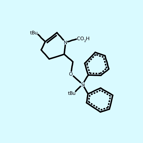 CC(C)(C)C1=CN(C(=O)O)C(CO[Si](c2ccccc2)(c2ccccc2)C(C)(C)C)CC1